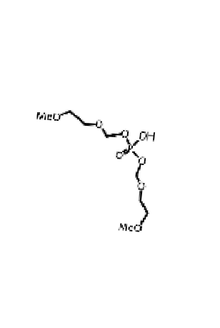 COCCOCOP(=O)(O)OCOCCOC